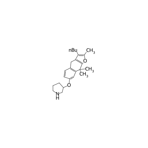 CCCCc1c(C)oc2c1Cc1ccc(OC3CCCNC3)cc1C2(C)C